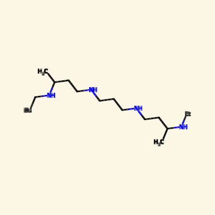 CCNC(C)CCNCCCNCCC(C)NCC(C)CC